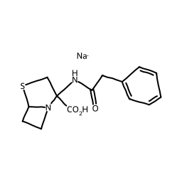 O=C(Cc1ccccc1)NC1(C(=O)O)CSC2CCN21.[Na]